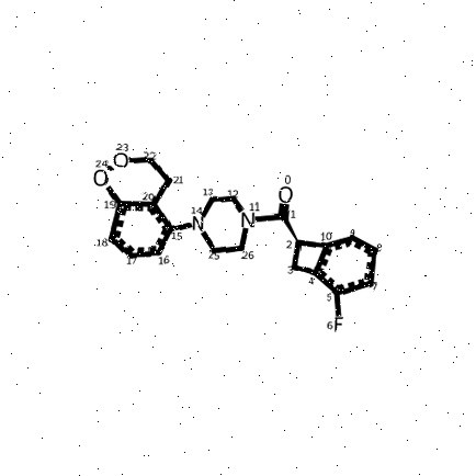 O=C([C@@H]1Cc2c(F)cccc21)N1CCN(c2cccc3c2CCOO3)CC1